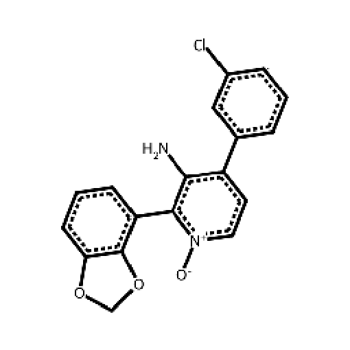 Nc1c(-c2cc[c]c(Cl)c2)cc[n+]([O-])c1-c1cccc2c1OCO2